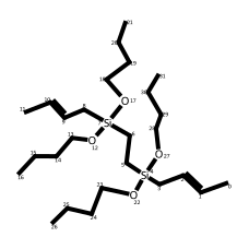 CC=CC[Si](CC[Si](CC=CC)(OCCCC)OCCCC)(OCCCC)OCCCC